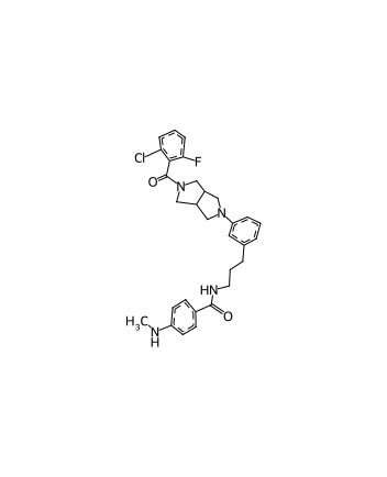 CNc1ccc(C(=O)NCCCc2cccc(N3CC4CN(C(=O)c5c(F)cccc5Cl)CC4C3)c2)cc1